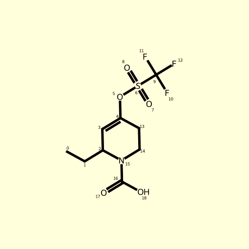 CCC1C=C(OS(=O)(=O)C(F)(F)F)CCN1C(=O)O